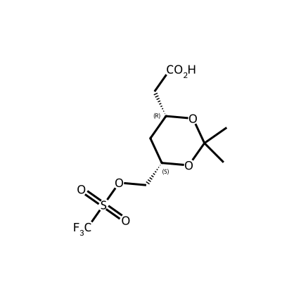 CC1(C)O[C@H](COS(=O)(=O)C(F)(F)F)C[C@H](CC(=O)O)O1